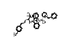 O=C(O)[C@H](CCCc1ccc(Br)cc1)/N=C(\c1ccccc1)c1ccccc1NC(=O)[C@@H]1CCCN1Cc1ccccc1